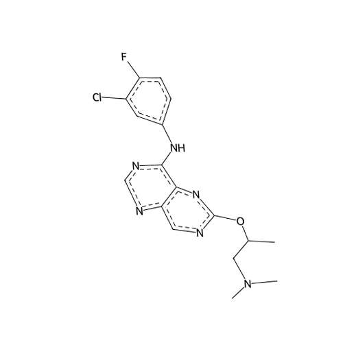 CC(CN(C)C)Oc1ncc2ncnc(Nc3ccc(F)c(Cl)c3)c2n1